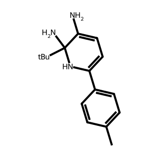 Cc1ccc(C2=CC=C(N)C(N)(C(C)(C)C)N2)cc1